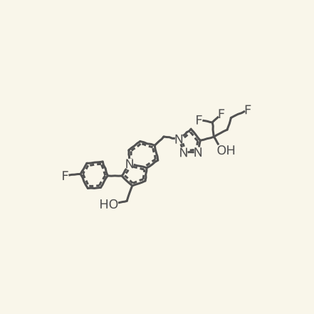 OCc1cc2cc(Cn3cc(C(O)(CCF)C(F)F)nn3)ccn2c1-c1ccc(F)cc1